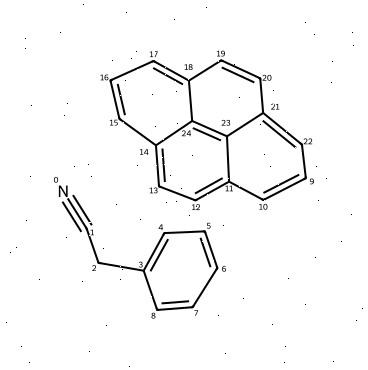 N#CCc1ccccc1.c1cc2ccc3cccc4ccc(c1)c2c34